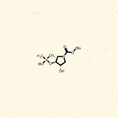 CC(C)(C)OC(=O)N1C[C@H](O[Si](C)(C)C(C)(C)C)[C@@H](O)C1